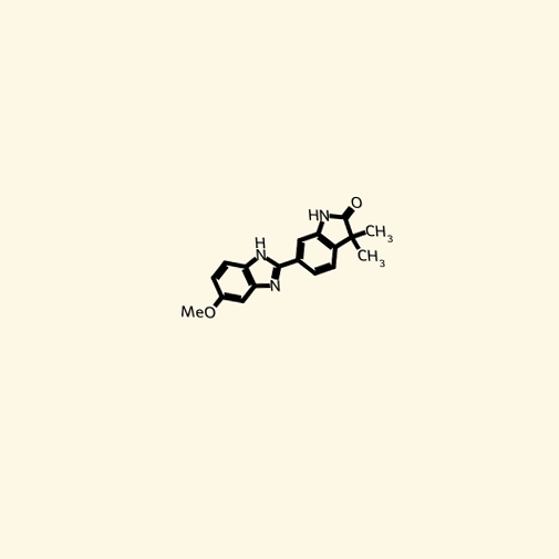 COc1ccc2[nH]c(-c3ccc4c(c3)NC(=O)C4(C)C)nc2c1